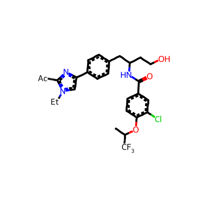 CCn1cc(-c2ccc(CC(CCO)NC(=O)c3ccc(OC(C)C(F)(F)F)c(Cl)c3)cc2)nc1C(C)=O